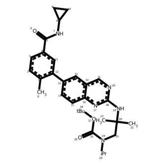 Cc1ccc(C(=O)NC2CC2)cc1-c1ccc2nc(NC(C)(C)CN(C(=O)OC(C)(C)C)C(C)C)ncc2c1